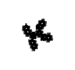 c1ccc2cc(-c3cc(-c4ccc5ccccc5c4)nc(-c4cc(-c5cc6ccccc6cn5)cc(-c5cc6ccccc6cn5)c4)n3)ccc2c1